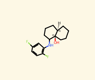 O[C@]12CCCC[C@@H]1CCCC2Nc1cc(F)ccc1F